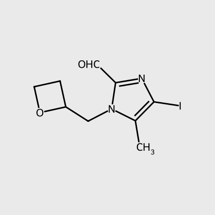 Cc1c(I)nc(C=O)n1CC1CCO1